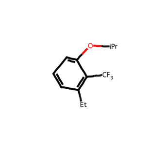 CCc1cccc(OC(C)C)c1C(F)(F)F